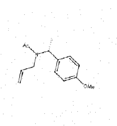 C=CCN(C(C)=O)[C@H](C)c1ccc(OC)cc1